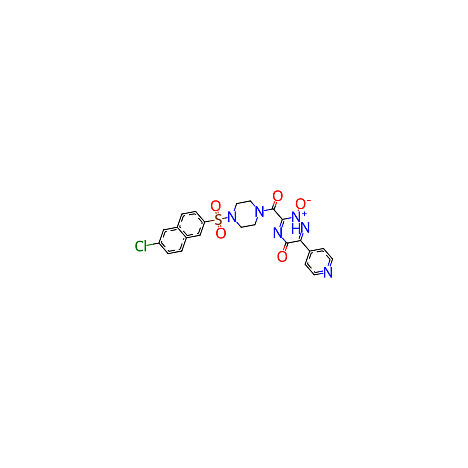 O=C1N=C(C(=O)N2CCN(S(=O)(=O)c3ccc4cc(Cl)ccc4c3)CC2)[NH+]([O-])N=C1c1ccncc1